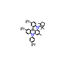 Cc1cc2c3c(c1)N(C1C4(C)CCC(C4)C1(C)C)c1ccc(C(C)C)cc1B3c1cc(C(C)C)ccc1N2c1ccc(C(C)C)cc1